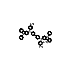 C[C@H]1CC(C#N)=CC=C1N(c1ccc(-c2ccc(N(c3ccc(C#N)cc3)c3ccc4c(c3)C3C=CC=CC3N4c3ccccc3)cc2)cc1)c1ccc2c(c1)c1ccccc1n2-c1ccccc1